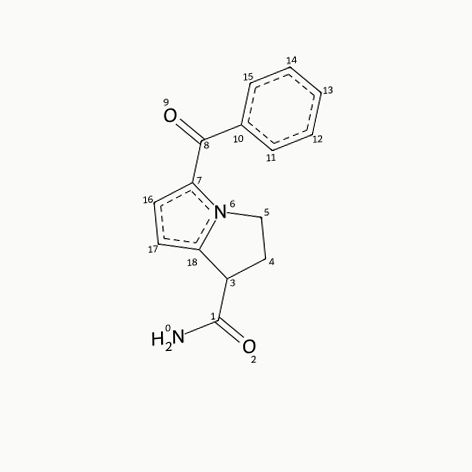 NC(=O)C1CCn2c(C(=O)c3ccccc3)ccc21